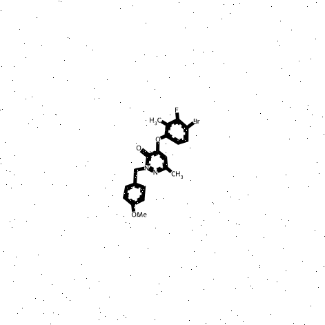 COc1ccc(Cn2nc(C)cc(Oc3ccc(Br)c(F)c3C)c2=O)cc1